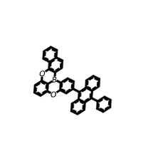 c1ccc(-c2c3ccccc3c(-c3ccc4c(c3)Oc3cccc5c3B4c3ccc4ccccc4c3O5)c3ccccc23)cc1